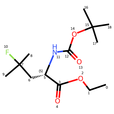 CCOC(=O)[C@H](CC(C)(C)F)NC(=O)OC(C)(C)C